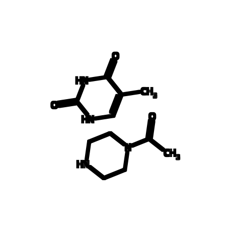 CC(=O)N1CCNCC1.Cc1c[nH]c(=O)[nH]c1=O